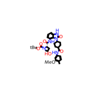 COc1cc(NC(=O)C2CCC(n3c(=O)[nH]c4cccc(NC(=O)[C@@H]5C[C@@H](O)CN5C(=O)OC(C)(C)C)c43)CC2)ccc1C